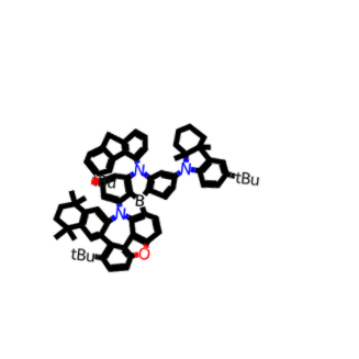 Cc1cc2c3c(c1)-n1c4cc5c(cc4c4c(C(C)(C)C)ccc6oc7ccc(c1c7c64)B3c1ccc(N3c4ccc(C(C)(C)C)cc4C4(C)CCCCC34C)cc1N2c1cccc2c1-c1cc(C(C)(C)C)ccc1C2)C(C)(C)CCC5(C)C